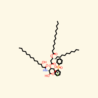 CCCCCCCCCCCCCC(=O)O[C@H](CCCCCCCCCCC)CC(=O)O[C@H]1[C@H](OP(=O)(c2ccccc2)c2ccccc2)[C@@H](CF)OC(O)[C@@H]1NC(=O)C[C@H](O)CCCCCCCCCCC